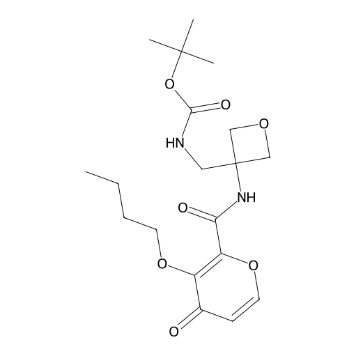 CCCCOc1c(C(=O)NC2(CNC(=O)OC(C)(C)C)COC2)occc1=O